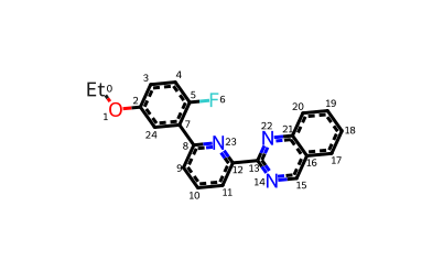 CCOc1ccc(F)c(-c2cccc(-c3ncc4ccccc4n3)n2)c1